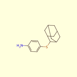 Nc1ccc(SC2C3CC4CC(C3)CC2C4)cc1